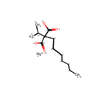 CCCCCCCC(C(=O)[O-])(C(=O)[O-])C(C)C.[Mg+2]